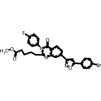 COC(=O)CCCCc1nc2cc(-c3cc(-c4ccc(Br)cc4)on3)ccc2c(=O)n1-c1ccc(F)cc1